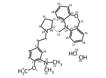 COc1ccc(CCN2CCC[C@@H]2CN2c3ccccc3COc3ccccc32)cc1N(C)C.Cl.Cl